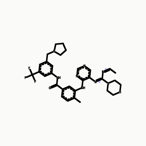 C/C=N\C(=N/c1cncnc1Nc1cc(C(=O)Nc2cc(CN3CCCC3)cc(C(F)(F)F)c2)ccc1C)N1CCOCC1